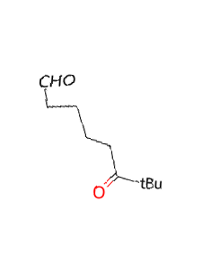 CC(C)(C)C(=O)CCCCC=O